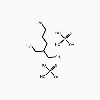 CCC(CC)CC[CH2][Zn].OP(O)(O)=S.OP(O)(O)=S